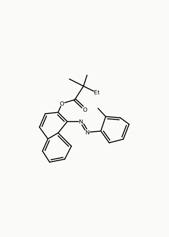 CCC(C)(C)C(=O)Oc1ccc2ccccc2c1N=Nc1ccccc1C